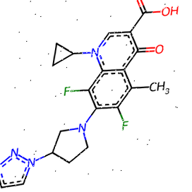 Cc1c(F)c(N2CCC(n3ccnn3)C2)c(F)c2c1c(=O)c(C(=O)O)cn2C1CC1